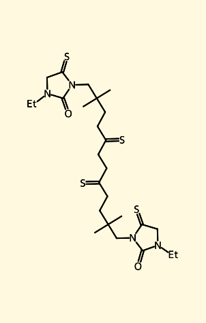 CCN1CC(=S)N(CC(C)(C)CCC(=S)CCC(=S)CCC(C)(C)CN2C(=O)N(CC)CC2=S)C1=O